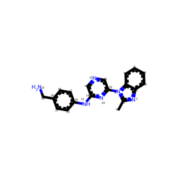 Cc1nc2ccccc2n1-c1cncc(Nc2ccc(CN)cc2)n1